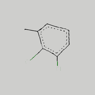 Cc1c[c]cc(Cl)c1Cl